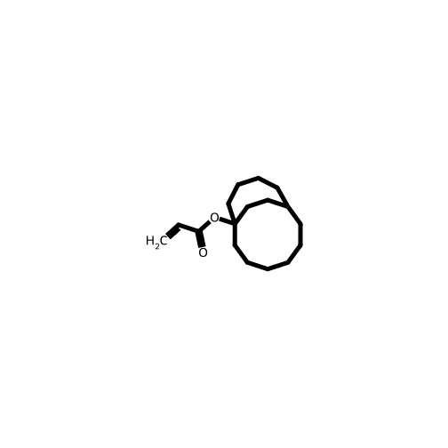 C=CC(=O)OC12CCCCCCC(CCCC1)CC2